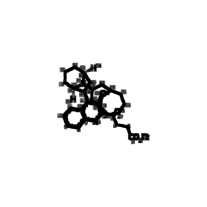 CCOC(=O)CCC(=O)c1nc2ccccc2n([C@@H]2C[C@@H]3CCC[C@H]2N3C2CC3CCCCC(C3)C2)c1=O